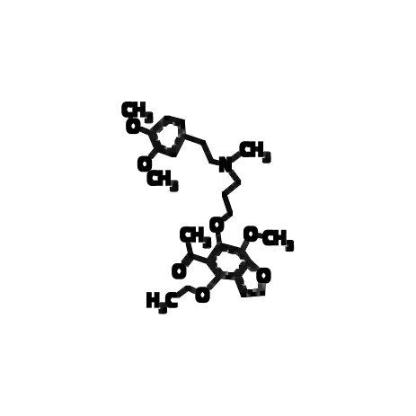 CCOc1c(C(C)=O)c(OCCCN(C)CCc2ccc(OC)c(OC)c2)c(OC)c2occc12